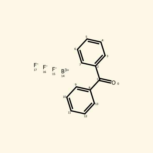 O=C(c1ccccc1)c1ccccc1.[B+3].[F-].[F-].[F-]